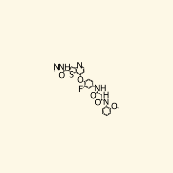 COc1ccccc1NC(=O)CC(=O)Nc1ccc(Oc2ccnc3cc(C(=O)NN(C)C)sc23)c(F)c1